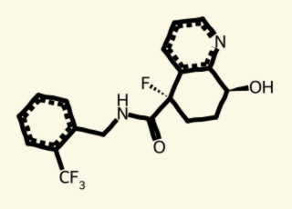 O=C(NCc1ccccc1C(F)(F)F)[C@]1(F)CC[C@H](O)c2ncccc21